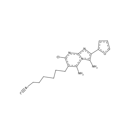 [C-]#[N+]CCCCCCc1c(Cl)nc2nc(-c3ccco3)c(N)n2c1N